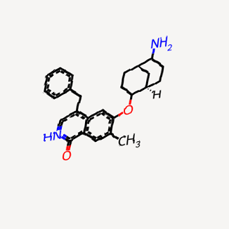 Cc1cc2c(=O)[nH]cc(Cc3ccccc3)c2cc1OC1CCC2C[C@H]1CCC2N